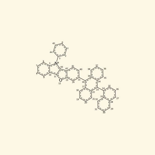 c1ccc(-n2c3ccccc3c3oc4cc(-c5c6ccccc6c(-c6cccc7ccccc67)c6ccccc56)ccc4c32)cc1